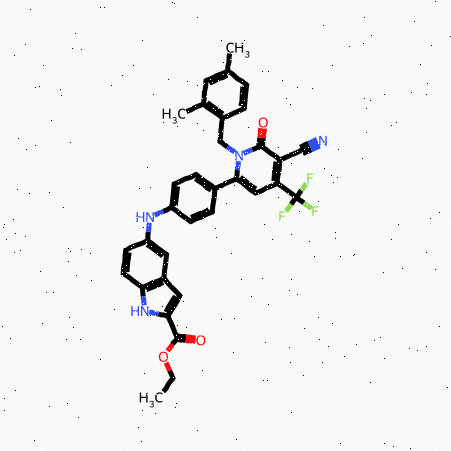 CCOC(=O)c1cc2cc(Nc3ccc(-c4cc(C(F)(F)F)c(C#N)c(=O)n4Cc4ccc(C)cc4C)cc3)ccc2[nH]1